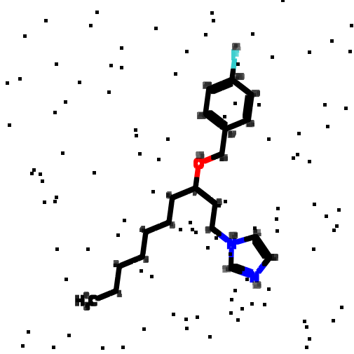 CCCCCCCC(CCn1ccnc1)OCc1ccc(F)cc1